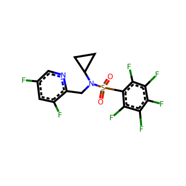 O=S(=O)(c1c(F)c(F)c(F)c(F)c1F)N(Cc1ncc(F)cc1F)C1CC1